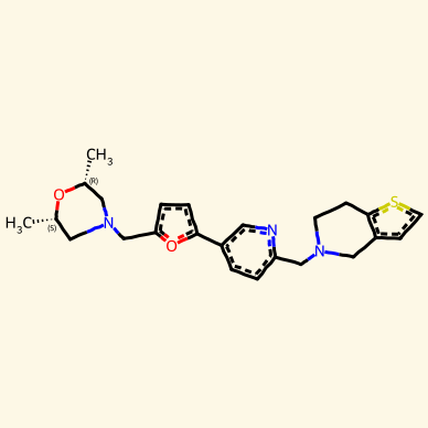 C[C@@H]1CN(Cc2ccc(-c3ccc(CN4CCc5sccc5C4)nc3)o2)C[C@H](C)O1